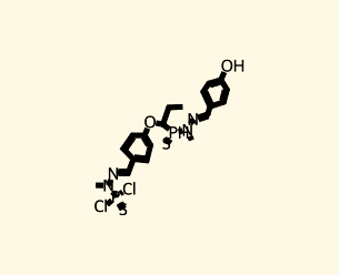 CCC(Oc1ccc(C=NN(C)P(=S)(Cl)Cl)cc1)[PH](=S)N(C)N=Cc1ccc(O)cc1